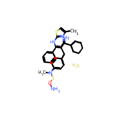 Cc1csc(N/C(=C(/Cc2ccc(N(C)SON)cc2)C(=N)C2CCCCC2)c2ccccc2)n1.S